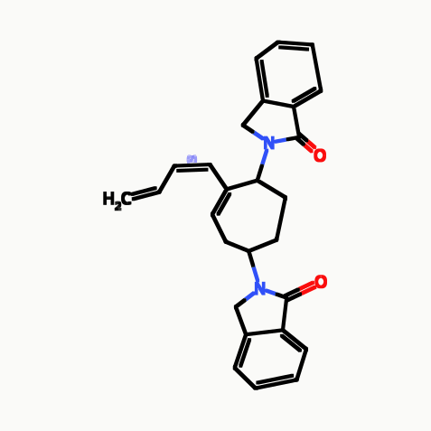 C=C/C=C\C1=CCC(N2Cc3ccccc3C2=O)CCC1N1Cc2ccccc2C1=O